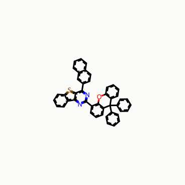 c1ccc(C2(c3ccccc3)c3ccccc3Oc3c(-c4nc(-c5ccc6ccccc6c5)c5sc6ccccc6c5n4)cccc32)cc1